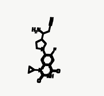 N#CCC(N)C1CCN(c2cc3c(cc2F)c(=O)[nH]c(=O)n3C2CC2)C1